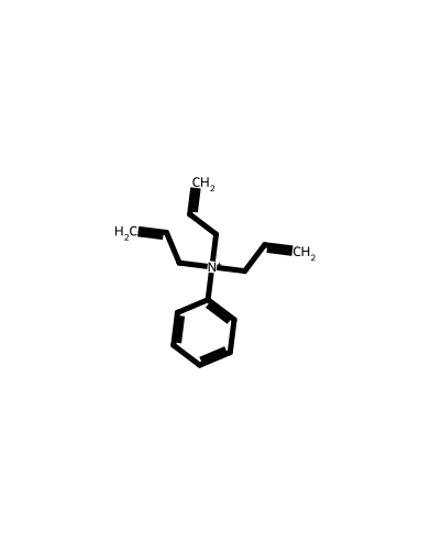 C=CC[N+](CC=C)(CC=C)c1ccccc1